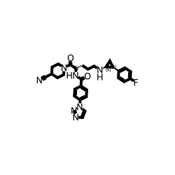 N#CC1CCN(C(=O)[C@H](CCCN[C@@H]2C[C@H]2c2ccc(F)cc2)NC(=O)c2ccc(-n3ccnn3)cc2)CC1